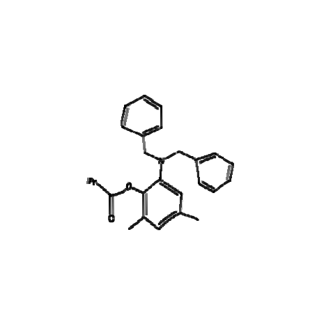 Cc1cc(C)c(OC(=O)C(C)C)c(N(Cc2ccccc2)Cc2ccccc2)c1